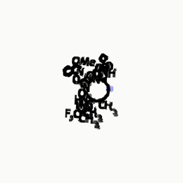 COc1cnc(O[C@@H]2C[C@H]3C(=O)N[C@]4(C(=O)NS(=O)(=O)C5CCC5)CC4/C=C\CC[C@@H](C)C[C@@H](C)[C@H](NC(=O)OC(C)(C)C(F)(F)F)C(=O)N3C2)c2ccccc12